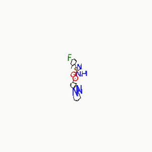 Cc1cc(F)ccc1-c1nc(C)c(NC(=O)OCc2ccc3c(c2)nc2n3CCCC2)s1